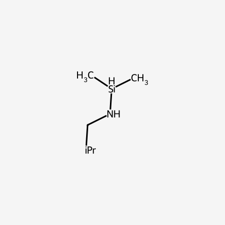 CC(C)CN[SiH](C)C